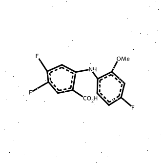 COc1cc(F)ccc1Nc1cc(F)c(F)cc1C(=O)O